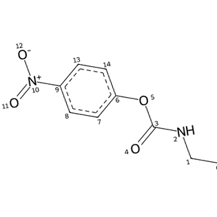 [CH2]CNC(=O)Oc1ccc([N+](=O)[O-])cc1